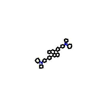 C1=CC=CC(N(c2ccccc2)c2ccc(-c3ccc(-c4cc5ccccc5c5c(-c6ccc(-c7ccc(N(c8ccccc8)C8C=CC=CC=C8)cc7)cc6)cc6ccccc6c45)cc3)cc2)C=C1